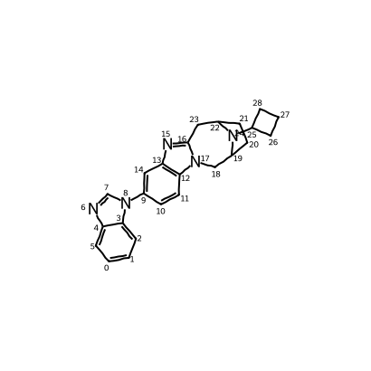 c1ccc2c(c1)ncn2-c1ccc2c(c1)nc1n2CC2CCC(C1)N2C1CCC1